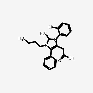 CCCCN1C(c2ccccc2)=C(CC(=O)O)N(c2ccccc2Cl)C1C